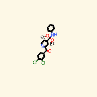 CCOC(Nc1ccccc1)(OCC)c1ccnc(C(=O)c2ccc(Cl)c(Cl)c2)c1